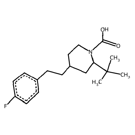 CC(C)(C)C1CC(CCc2ccc(F)cc2)CCN1C(=O)O